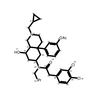 CC(=O)Oc1cccc(C23CCN(CC4CC4)CC2C(O)CC(N(CC(C)C)C(=O)Cc2ccc(Cl)c(Cl)c2)C3)c1